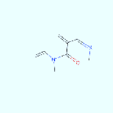 C=CN(C)C(=O)C(=C)/C=N\C